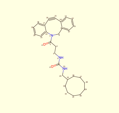 O=C(NCCC(=O)N1Cc2ccccc2C#Cc2ccccc21)NCC1CCCCCCCC1